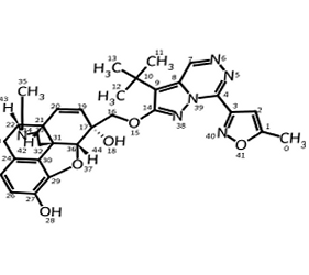 Cc1cc(-c2nncc3c(C(C)(C)C)c(OC[C@]4(O)C=C[C@H]5[C@H]6Cc7ccc(O)c8c7[C@@]5(CCN6C)[C@H]4O8)nn23)no1